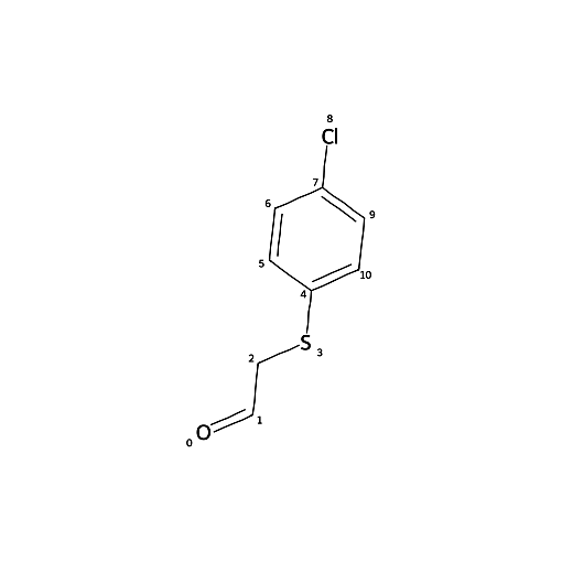 O=CCSc1ccc(Cl)cc1